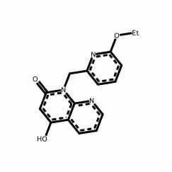 CCOc1cccc(Cn2c(=O)cc(O)c3cccnc32)n1